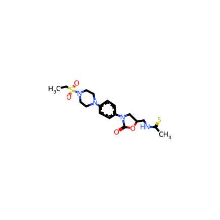 CCS(=O)(=O)N1CCN(c2ccc(N3CC(CNC(C)=S)OC3=O)cc2)CC1